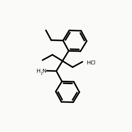 CCc1ccccc1C(CC)(CC)C(N)c1ccccc1.Cl